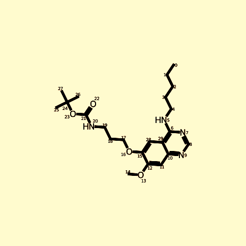 CCCCCNc1ncnc2cc(OC)c(OCCCNC(=O)OC(C)(C)C)cc12